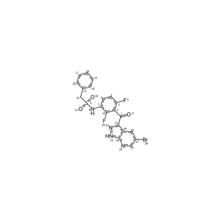 O=C(c1c(F)ccc(NS(=O)(=O)Cc2ccccc2)c1F)c1n[nH]c2ncc(Br)cc12